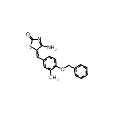 Cc1cc(C=C2SC(=O)N=C2N)ccc1OCc1ccccc1